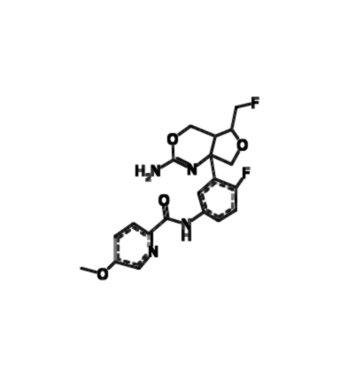 COc1ccc(C(=O)Nc2ccc(F)c(C34COC(CF)C3COC(N)=N4)c2)nc1